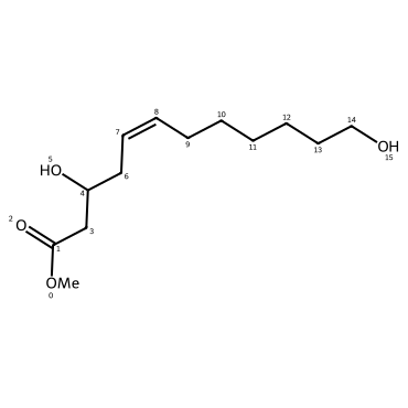 COC(=O)CC(O)C/C=C\CCCCCCO